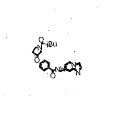 CC[C@H](C)C(=O)N1CC[C@H](Oc2ccc(C(=O)NCc3ccn4ccnc4c3)cc2)C1